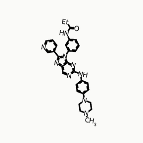 CCC(=O)Nc1cccc(-n2c(-c3cccnc3)nc3cnc(Nc4ccc(N5CCN(C)CC5)cc4)nc32)c1